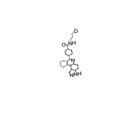 COCCCNC(=O)c1ccc(-c2nc3ccc4[nH]ncc4c3c3c2CCCC3)cc1